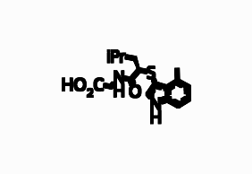 Cc1cccc2[nH]cc(S[C@H](CC(C)C)C(=O)NCC(=O)O)c12